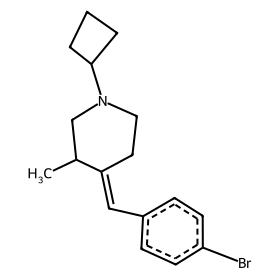 CC1CN(C2CCC2)CC/C1=C\c1ccc(Br)cc1